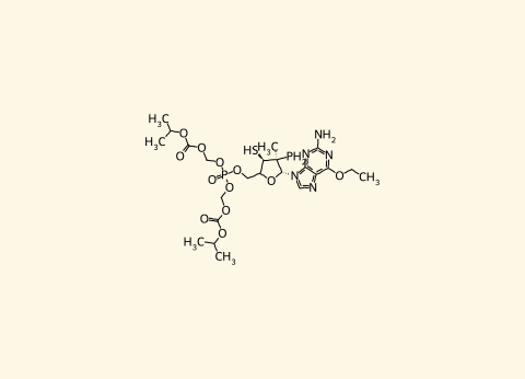 CCOc1nc(N)nc2c1ncn2[C@@H]1OC(COP(=O)(OCOC(=O)OC(C)C)OCOC(=O)OC(C)C)[C@@H](S)[C@@]1(C)P